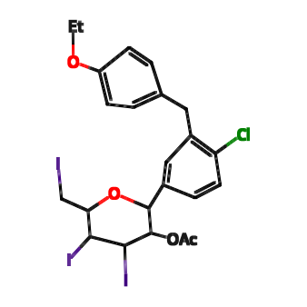 CCOc1ccc(Cc2cc(C3OC(CI)C(I)C(I)C3OC(C)=O)ccc2Cl)cc1